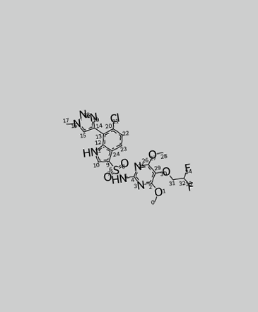 COc1nc(NS(=O)(=O)c2c[nH]c3c(-c4cn(C)nn4)c(Cl)ccc23)nc(OC)c1OCC(F)F